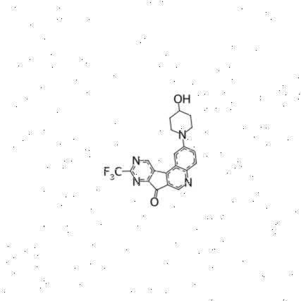 O=C1c2cnc3ccc(N4CCC(O)CC4)cc3c2-c2cnc(C(F)(F)F)nc21